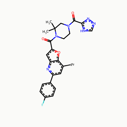 CC(C)c1cc(-c2ccc(F)cc2)nc2cc(C(=O)N3CCN(C(=O)c4nnc[nH]4)CC3(C)C)oc12